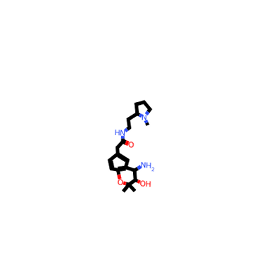 CN1CCCC1CCNC(=O)Cc1ccc2c(c1)C(N)C(O)C(C)(C)O2